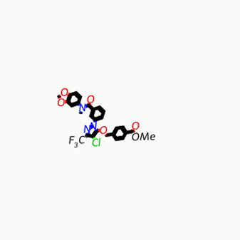 COC(=O)c1ccc(COc2c(Cl)c(C(F)(F)F)nn2-c2cccc(C(=O)N(C)c3ccc4c(c3)OCO4)c2)cc1